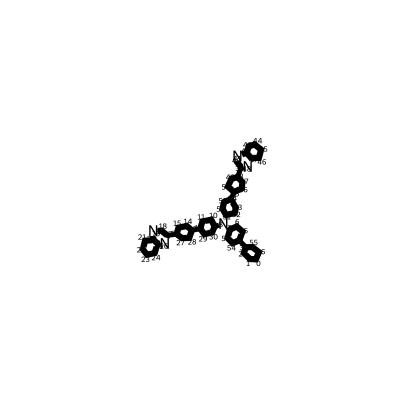 c1ccc(-c2ccc(N(c3ccc(-c4ccc(-c5cnc6ccccc6n5)cc4)cc3)c3ccc(-c4ccc(-c5cnc6ccccc6n5)cc4)cc3)cc2)cc1